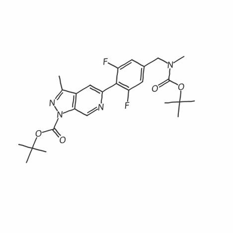 Cc1nn(C(=O)OC(C)(C)C)c2cnc(-c3c(F)cc(CN(C)C(=O)OC(C)(C)C)cc3F)cc12